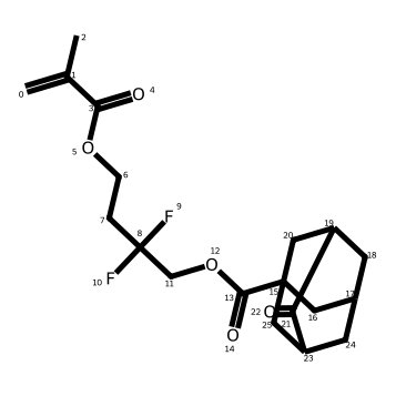 C=C(C)C(=O)OCCC(F)(F)COC(=O)C12CC3CC(C1)C(=O)C(C3)C2